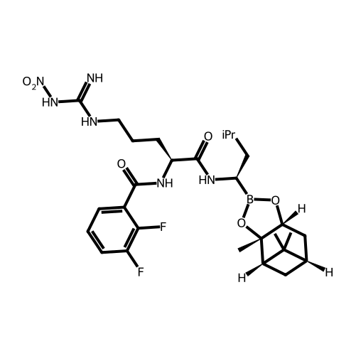 CC(C)C[C@H](NC(=O)[C@H](CCCNC(=N)N[N+](=O)[O-])NC(=O)c1cccc(F)c1F)B1O[C@@H]2C[C@@H]3C[C@@H](C3(C)C)[C@]2(C)O1